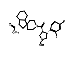 COC(=O)[C@H]1CC2(CCN(C(=O)[C@@H]3CN(C(C)(C)C)C[C@H]3c3ccc(F)cc3F)CC2)C2CCCCC21